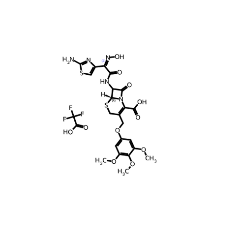 COc1cc(OCC2=C(C(=O)O)N3C(=O)C(NC(=O)/C(=N\O)c4csc(N)n4)[C@H]3SC2)cc(OC)c1OC.O=C(O)C(F)(F)F